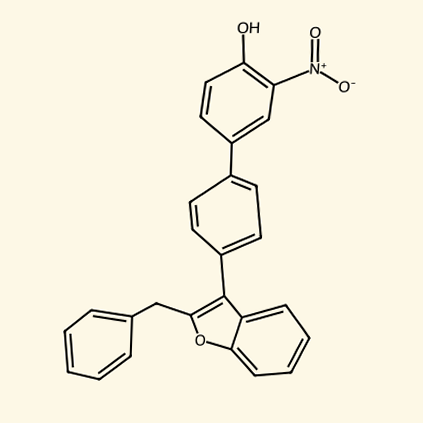 O=[N+]([O-])c1cc(-c2ccc(-c3c(Cc4ccccc4)oc4ccccc34)cc2)ccc1O